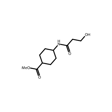 COC(=O)C1CCC(NC(=O)CCO)CC1